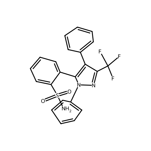 NS(=O)(=O)c1ccccc1-c1c(-c2ccccc2)c(C(F)(F)F)nn1-c1ccccc1